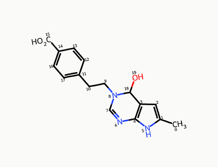 Cc1cc2c([nH]1)N=CN(CCc1ccc(C(=O)O)cc1)C2O